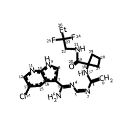 C=C(/N=C\N=C(/N)c1c[nH]c2ncc(Cl)cc12)NC1(C(=O)NCC(F)(F)CC)CCC1